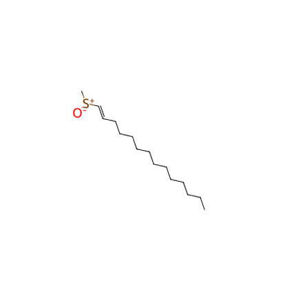 CCCCCCCCCCCC/C=C/[S+](C)[O-]